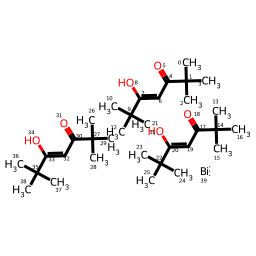 CC(C)(C)C(=O)/C=C(\O)C(C)(C)C.CC(C)(C)C(=O)/C=C(\O)C(C)(C)C.CC(C)(C)C(=O)/C=C(\O)C(C)(C)C.[Bi]